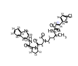 C[C@H](CCCN(C=O)CC(=O)N1CCC[C@H]1C(=O)Nc1cnc2ccccc2c1)NS(=O)(=O)/C=C/c1ccc(Cl)s1